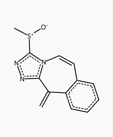 C=C1c2ccccc2C=Cn2c1nnc2[S+](C)[O-]